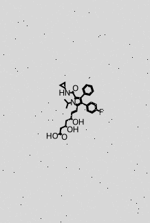 CC(C)n1c(/C=C/C(O)CC(O)CC(=O)O)c(-c2ccc(F)cc2)c(-c2ccccc2)c1C(=O)NC1CC1